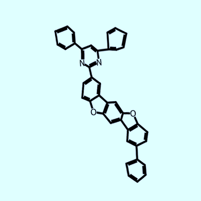 c1ccc(-c2ccc3oc4cc5c(cc4c3c2)oc2ccc(-c3nc(-c4ccccc4)cc(-c4ccccc4)n3)cc25)cc1